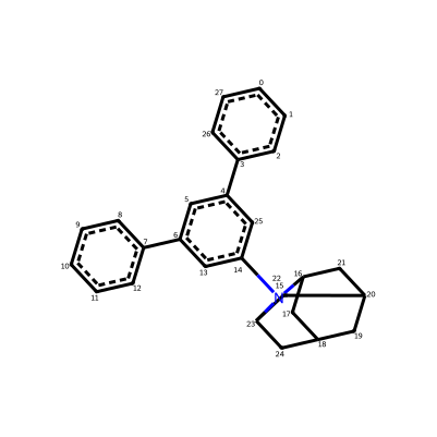 c1ccc(-c2cc(-c3ccccc3)cc(N3C4CC5CC(C4)CC3C5)c2)cc1